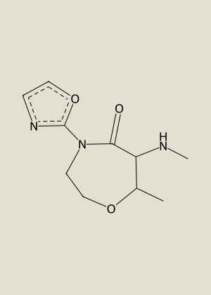 CNC1C(=O)N(c2ncco2)CCOC1C